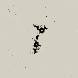 CC(=O)c1ccc(OCCCOc2ccc(NC(=O)C(=O)O)c(C)c2)c(CCC(F)(F)F)c1O